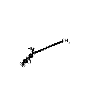 CCCCCCCCCCCCCCCCCCCCCCN(CCO)c1ccc(/N=N/c2ccc([N+](=O)[O-])cc2Cl)cc1